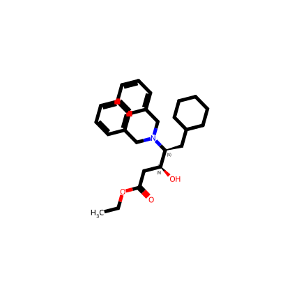 CCOC(=O)C[C@H](O)[C@H](CC1CCCCC1)N(Cc1ccccc1)Cc1ccccc1